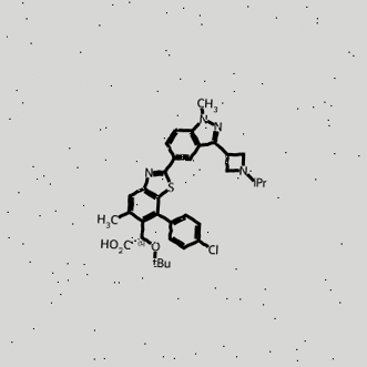 Cc1cc2nc(-c3ccc4c(c3)c(C3CN(C(C)C)C3)nn4C)sc2c(-c2ccc(Cl)cc2)c1[C@H](OC(C)(C)C)C(=O)O